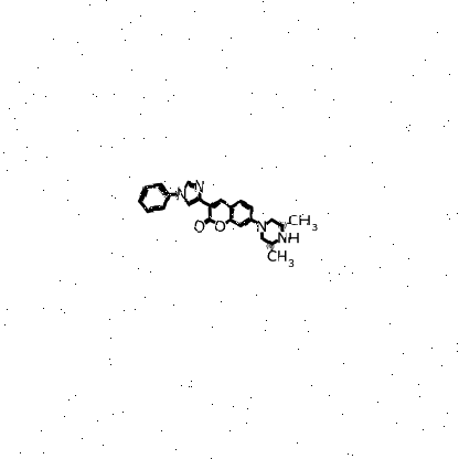 C[C@@H]1CN(c2ccc3cc(-c4cn(-c5ccccc5)cn4)c(=O)oc3c2)C[C@H](C)N1